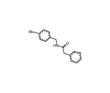 CC(C)(C)c1ccc(CNC(=O)Cc2cccnc2)cc1